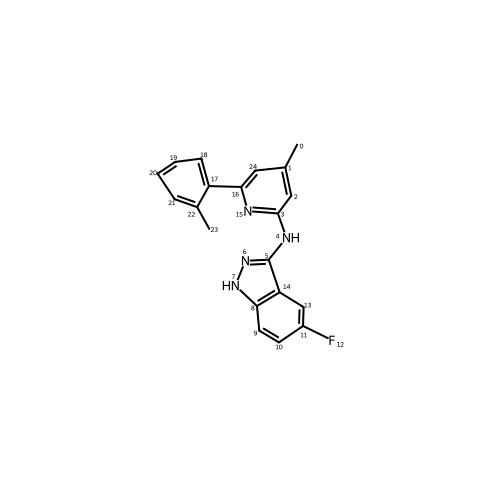 Cc1cc(Nc2n[nH]c3ccc(F)cc23)nc(-c2ccccc2C)c1